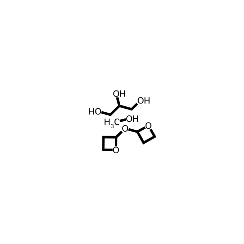 C1CC(OC2CCO2)O1.CO.OCC(O)CO